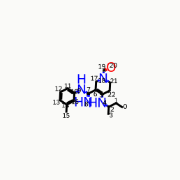 CCC(C)NC1=C(C(=N)Nc2cccc(C)c2)CN(C=O)CC1